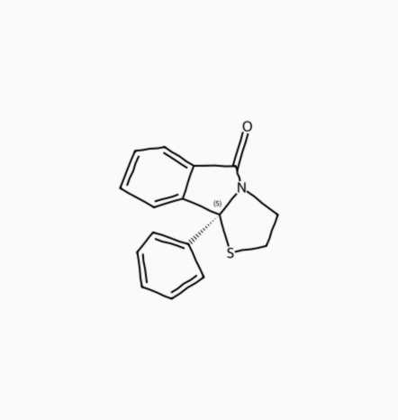 O=C1c2ccccc2[C@]2(c3ccccc3)SCCN12